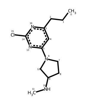 CCCc1cc(N2CCC(NC)C2)nc(Cl)n1